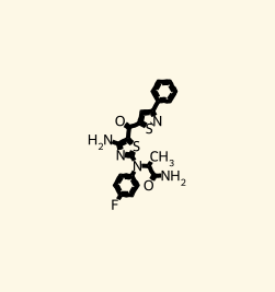 CC(C(N)=O)N(c1ccc(F)cc1)c1nc(N)c(C(=O)c2cc(-c3ccccc3)ns2)s1